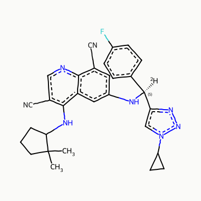 [2H][C@](Nc1cc(C#N)c2ncc(C#N)c(NC3CCCC3(C)C)c2c1)(c1ccc(F)cc1)c1cn(C2CC2)nn1